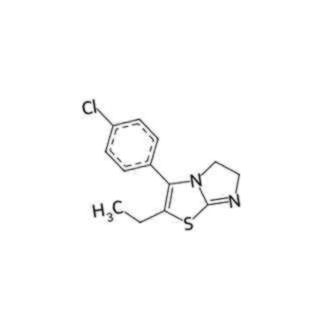 CCC1=C(c2ccc(Cl)cc2)N2CCN=C2S1